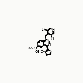 COc1ccc2c(Cc3c(Cl)cncc3Cl)nnc(-c3sccc3C=O)c2c1